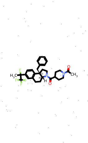 CC(=O)N1CCC(C(=O)N2CC[C@@]3(Cc4ccccc4)c4ccc(C(C)(F)C(F)(F)F)cc4CC[C@@H]23)CC1